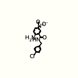 Nc1ccc([N+](=O)[O-])cc1C(=O)NCc1ccc(Cl)cc1